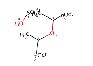 CCCCCCCCC(C)OC(C)CCCCCCCC.O=S(=O)(O)O